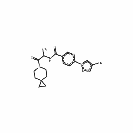 CC(NC(=O)c1ccc(-n2cc(C#N)cn2)nc1)C(=O)N1CCC2(CC1)CC2